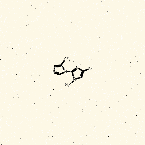 Cn1cc(Br)nc1-n1cncc1C(F)(F)F